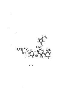 Cc1ccccc1-c1nc(NSc2cnn(C)c2)nc(Oc2ccc(C3CCN(C)CC3)cc2)c1Cl